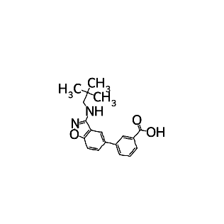 CC(C)(C)CNc1noc2ccc(-c3cccc(C(=O)O)c3)cc12